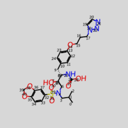 CC(C)CN(C[C@@H](O)[C@H](Cc1ccc(OCCCn2ccnn2)cc1)NC(=O)O)S(=O)(=O)c1ccc2c(c1)OCO2